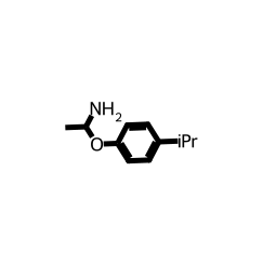 CC(N)Oc1ccc(C(C)C)cc1